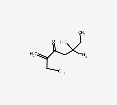 C=C(CC)C(=O)CC(C)(C)CC